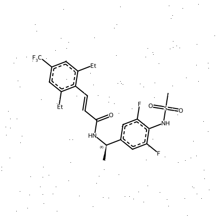 CCc1cc(C(F)(F)F)cc(CC)c1C=CC(=O)N[C@H](C)c1cc(F)c(NS(C)(=O)=O)c(F)c1